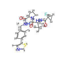 Cc1cc(-c2scnc2C)ccc1[C@H](C)NC(=O)C1CCCN1C(=O)C(NC(=O)C1(F)CC1)C(C)(C)C